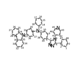 c1ccc(-c2nnc(-c3ccc(N(c4ccccc4)c4ccc(-n5c6ccccc6c6ccccc65)cc4)cc3)n2-c2ccncc2)cc1